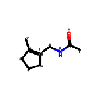 CC(=O)NC[Si]1=C(C)CCC1